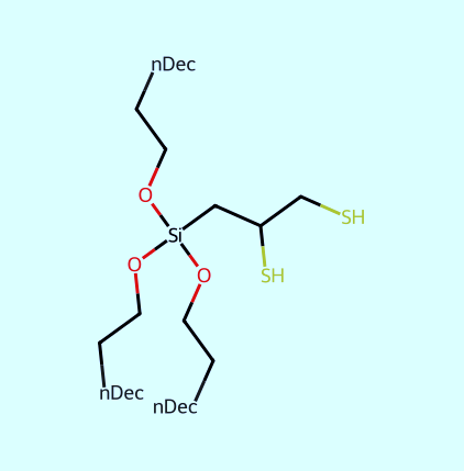 CCCCCCCCCCCCO[Si](CC(S)CS)(OCCCCCCCCCCCC)OCCCCCCCCCCCC